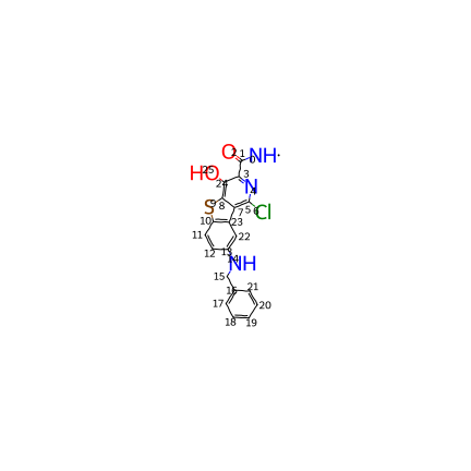 [NH]C(=O)c1nc(Cl)c2c(sc3ccc(NCc4ccccc4)cc32)c1O